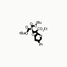 CCOC(=O)c1c(N(C(=O)OC(C)(C)C)C(=O)OC(C)(C)C)oc2cc(C(C)C)cnc12